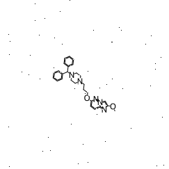 COc1cn2nc(OCCCN3CCN(C(c4ccccc4)c4ccccc4)CC3)ccc2n1